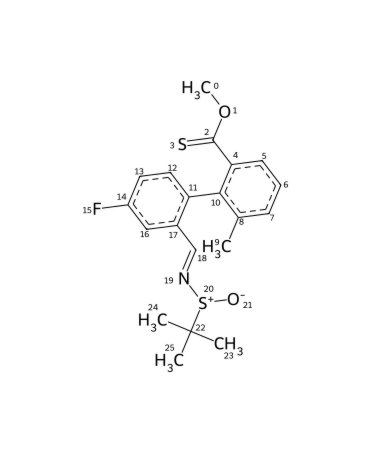 COC(=S)c1cccc(C)c1-c1ccc(F)cc1/C=N/[S+]([O-])C(C)(C)C